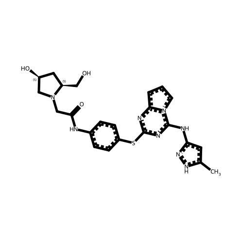 Cc1cc(Nc2nc(Sc3ccc(NC(=O)CN4C[C@@H](O)C[C@H]4CO)cc3)nc3cccn23)n[nH]1